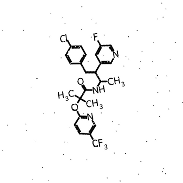 CC(NC(=O)C(C)(C)Oc1ccc(C(F)(F)F)cn1)C(Cc1ccc(Cl)cc1)c1cncc(F)c1